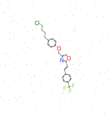 FC(F)(F)c1ccc(/C=C/c2nc(COc3ccc(CCCCCl)cc3)co2)cc1